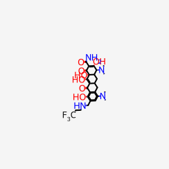 CN(C)c1cc(CNCCC(F)(F)F)c(O)c2c1CC1CC3[C@H](N(C)C)C(O)=C(C(N)=O)C(=O)[C@@]3(O)C(O)=C1C2=O